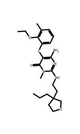 CCCC1(CCNc2nc(N)c(Sc3cccc(C)c3OCC)c(=O)n2C)CCOC1